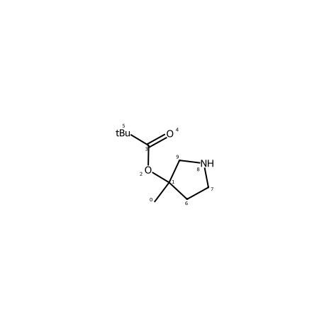 CC1(OC(=O)C(C)(C)C)CCNC1